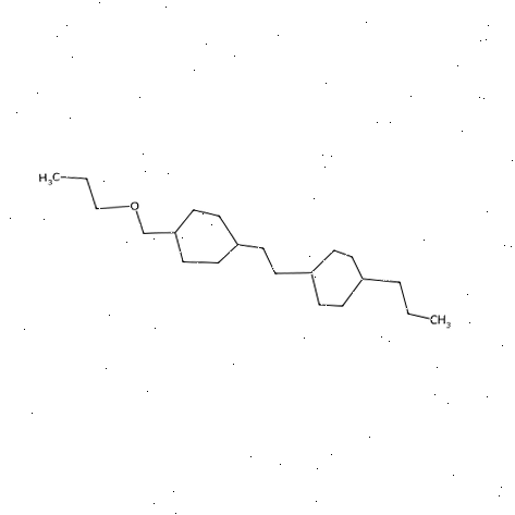 CCCOCC1CCC(CCC2CCC(CCC)CC2)CC1